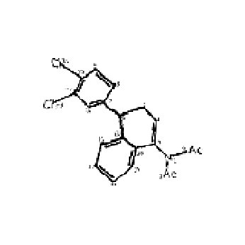 CC(=O)N(C(C)=O)C1=CCC(c2ccc(Cl)c(Cl)c2)c2ccccc21